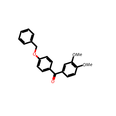 COc1ccc(C(=O)c2ccc(OCc3ccccc3)cc2)cc1OC